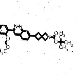 COCOc1ccccc1-c1cc2ccc(C3CC4(C3)CN(C(=O)OC(C)(C)C)C4)cc2nn1